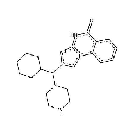 O=c1[nH]c2cc(C(C3CCCCC3)N3CCNCC3)cn2c2ccccc12